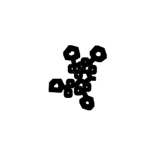 CC1C(OC(=O)c2ccccc2)C(COC(=O)c2ccccc2)OC(OC(=O)c2ccccc2)C1OC(=O)c1ccccc1